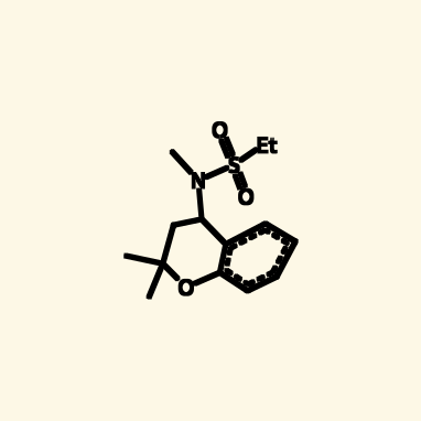 CCS(=O)(=O)N(C)C1CC(C)(C)Oc2ccccc21